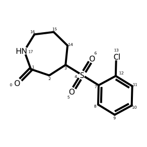 O=C1CC(S(=O)(=O)c2ccccc2Cl)CCCN1